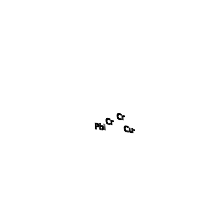 [Cr].[Cr].[Cu].[Pb]